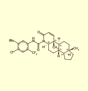 CC(C)(C)c1cc(NC(=O)N2C(=O)C=C[C@]3(C)[C@H]4CC[C@]5(C)CCC[C@H]5[C@@H]4CC[C@@H]23)c(C(F)(F)F)cc1Cl